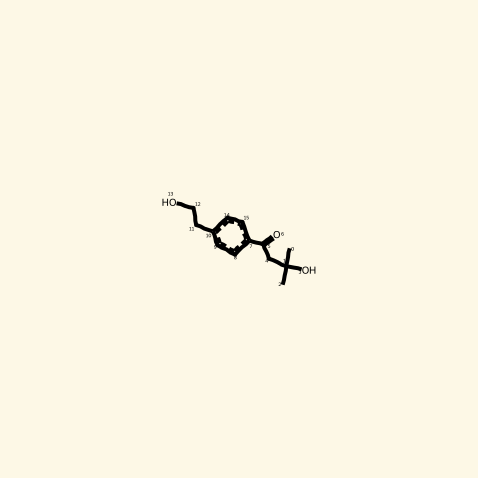 CC(C)(O)CC(=O)c1ccc(CCO)cc1